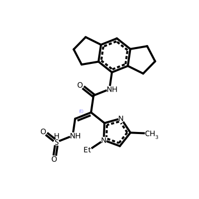 CCn1cc(C)nc1/C(=C\N[SH](=O)=O)C(=O)Nc1c2c(cc3c1CCC3)CCC2